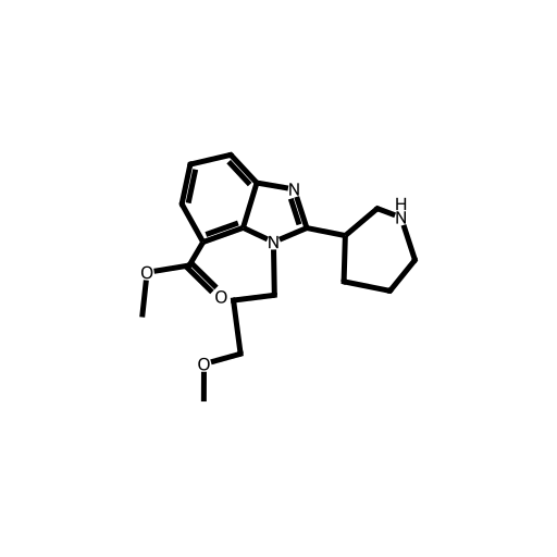 COCCCn1c(C2CCCNC2)nc2cccc(C(=O)OC)c21